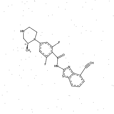 C#Cc1cccc2sc(NC(=O)c3c(F)cc(N4CCNC[C@@H]4C)cc3F)nc12